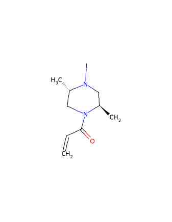 C=CC(=O)N1C[C@H](C)N(I)C[C@H]1C